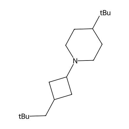 CC(C)(C)CC1CC(N2CCC(C(C)(C)C)CC2)C1